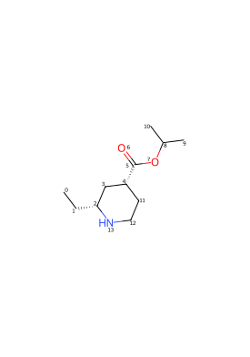 CC[C@@H]1C[C@H](C(=O)OC(C)C)CCN1